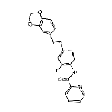 O=C(Nc1ccc(/C=C/c2ccc3c(c2)OCO3)cc1F)c1ccccn1